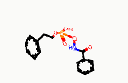 O=C(NOP(=O)(O)OCCc1ccccc1)c1ccccc1